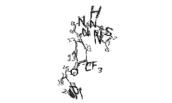 Cc1csc(Nc2nccc(-c3ccc(OCC(C)CC(C)C)c(C(F)(F)F)c3)n2)n1